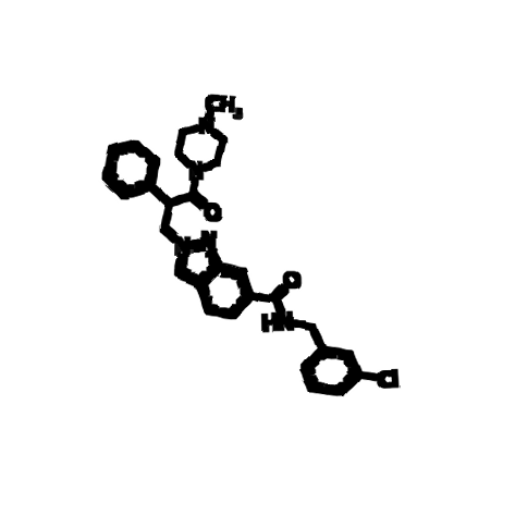 CN1CCN(C(=O)C(Cn2cc3ccc(C(=O)NCc4cccc(Cl)c4)cc3n2)c2ccccc2)CC1